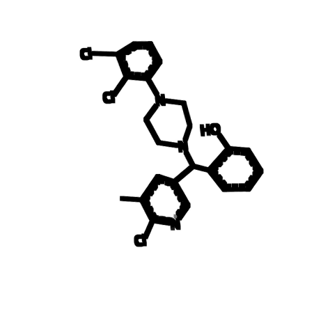 Cc1cc(C(c2ccccc2O)N2CCN(c3cccc(Cl)c3Cl)CC2)cnc1Cl